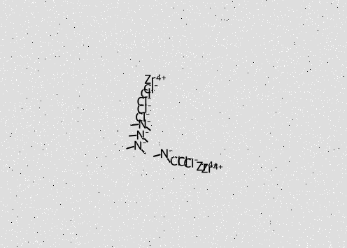 C[N-]C.C[N-]C.C[N-]C.C[N-]C.[Cl-].[Cl-].[Cl-].[Cl-].[Cl-].[Cl-].[Cl-].[Cl-].[Zr+4].[Zr+4].[Zr+4]